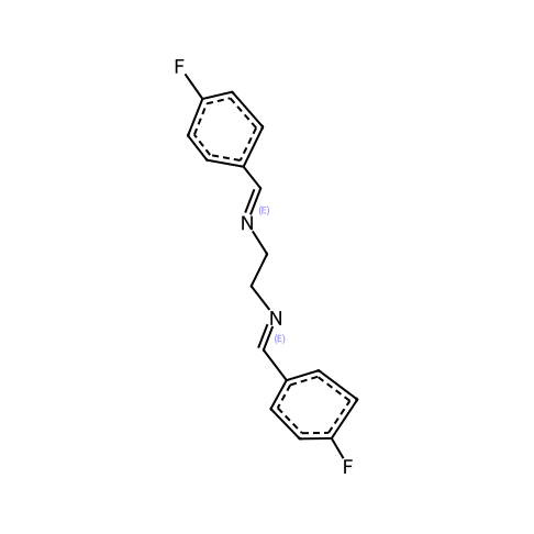 Fc1ccc(/C=N/CC/N=C/c2ccc(F)cc2)cc1